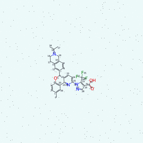 Cc1ccc(OCc2ccc3c(c2)CCN(C(C)C)C3)c(-c2cccc(-n3ncc(C(=O)O)c3C(F)(F)F)n2)c1